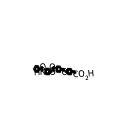 O=C(O)Cc1ccc(OCC2CCN(C(=O)Oc3ccc(NC(=O)c4ccccc4)cc3)CC2)cc1